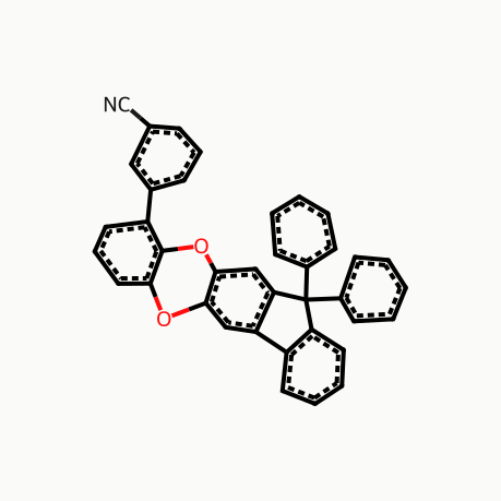 N#Cc1cccc(-c2cccc3c2Oc2cc4c(cc2O3)-c2ccccc2C4(c2ccccc2)c2ccccc2)c1